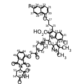 Cc1nn(C)c(C)c1-c1c(Cl)ccc2c(CCCOc3cccc4cc(F)ccc34)c(C(=O)O)n(CCN3CCN(C(=O)COc4cccc5c4C(=O)N(C4CCC(=O)NC4=O)C5=O)CC3)c12